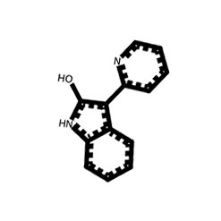 Oc1[nH]c2ccccc2c1-c1ccccn1